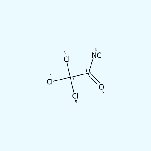 [C-]#[N+]C(=O)C(Cl)(Cl)Cl